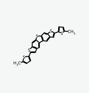 Cc1ccc(-c2cc3cc4c(cc3s2)sc2cc3sc(-c5ccc(C)s5)cc3cc24)s1